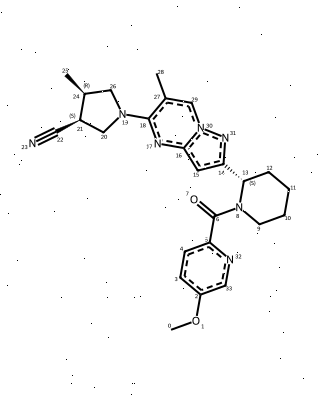 COc1ccc(C(=O)N2CCCC[C@H]2c2cc3nc(N4C[C@@H](C#N)[C@@H](C)C4)c(C)cn3n2)nc1